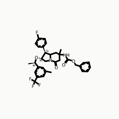 Cc1cc([C@@H](C)O[C@H]2CN3C(=O)CC(C)(NC(=O)OCc4ccccc4)CC3[C@@H]2c2ccc(F)cc2)cc(C(F)(F)F)c1